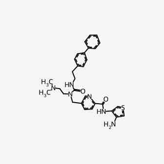 CN(C)CCN(Cc1ccc(C(=O)Nc2cscc2N)nc1)C(=O)NCCc1ccc(-c2ccccc2)cc1